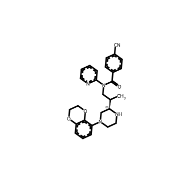 CC(CN(C(=O)c1ccc(C#N)cc1)c1ccccn1)[C@@H]1CN(c2cccc3c2OCCO3)CCN1